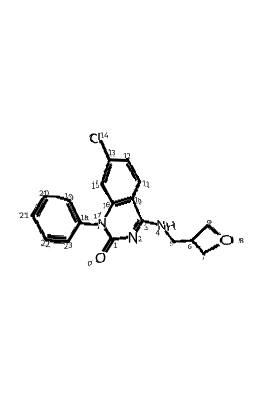 O=c1nc(NCC2COC2)c2ccc(Cl)cc2n1-c1ccccc1